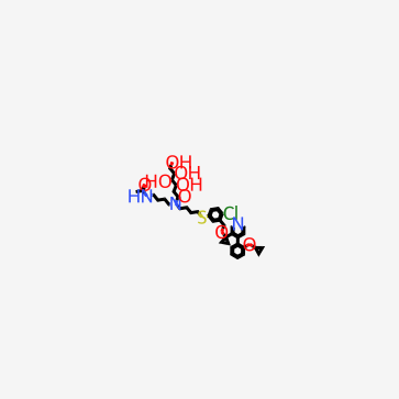 CC(=O)NCCCCN(CCCCSc1ccc(Cl)c(COC2(c3cnccc3-c3ccccc3OC3CC3)CC2)c1)C(=O)CC(O)C(O)C(O)CO